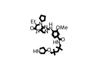 CC[C@@H]1C(=O)N(C)c2cnc(Nc3ccc(C(=O)NCC(C)(C)CC(C)(C)COC4CCNCC4)cc3OC)nc2N1C1CCCC1